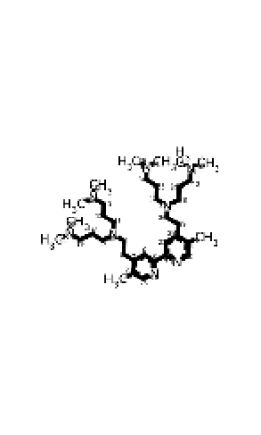 Cc1cnc(-c2cc(CCN(CCCN(C)C)CCCN(C)C)c(C)cn2)cc1CCN(CCCN(C)C)CCCN(C)C